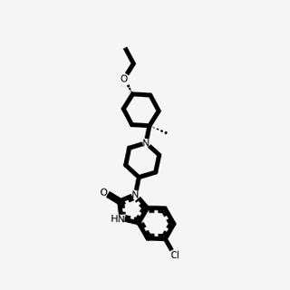 CCO[C@H]1CC[C@](C)(N2CCC(n3c(=O)[nH]c4cc(Cl)ccc43)CC2)CC1